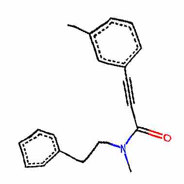 Cc1cccc(C#CC(=O)N(C)CCc2ccccc2)c1